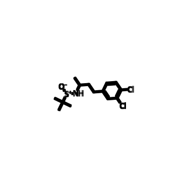 CC(CCc1ccc(Cl)c(Cl)c1)N[S+]([O-])C(C)(C)C